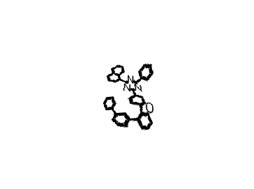 c1ccc(-c2cccc(-c3cccc4oc5cc(-c6nc(-c7ccccc7)nc(-c7cccc8ccccc78)n6)ccc5c34)c2)cc1